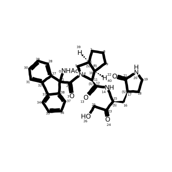 CC(=O)NC1(C(=O)N2C[C@H]3CCC[C@H]3[C@H]2C(=O)N[C@@H](C[C@@H]2CCNC2=O)C(=O)CO)c2ccccc2-c2ccccc21